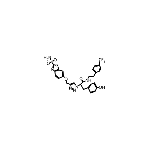 NS(=O)(=O)c1nc2ccc(OCc3cn(C(Cc4ccc(O)cc4)C(=O)NCCc4ccc(C(F)(F)F)cc4)nn3)cc2s1